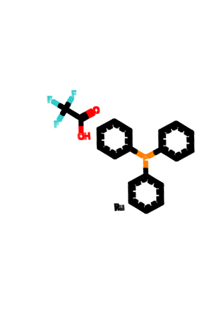 O=C(O)C(F)(F)F.[Ru].c1ccc(P(c2ccccc2)c2ccccc2)cc1